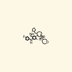 Cc1cc(Nc2ccc(F)cc2)c(C=N)cc1[C@H]1CN(S(=O)(=O)C2CCCCOCC2)CCCCC1CC1CCCC1